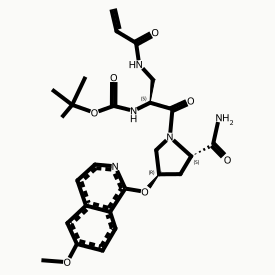 C=CC(=O)NC[C@H](NC(=O)OC(C)(C)C)C(=O)N1C[C@H](Oc2nccc3cc(OC)ccc23)C[C@H]1C(N)=O